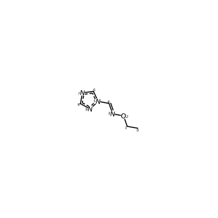 CCON=Cn1cncn1